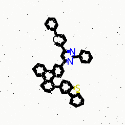 c1ccc(-c2ccc(-c3cc(-c4ccc5c(c4)c4ccccc4c4cccc(-c6ccc7sc8ccccc8c7c6)c45)nc(-c4ccccc4)n3)cc2)cc1